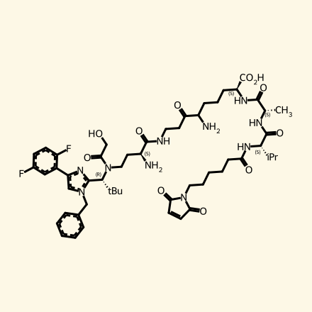 CC(C)[C@H](NC(=O)CCCCCN1C(=O)C=CC1=O)C(=O)N[C@@H](C)C(=O)N[C@@H](CCCC(N)C(=O)CCNC(=O)[C@@H](N)CCN(C(=O)CO)[C@@H](c1nc(-c2cc(F)ccc2F)cn1Cc1ccccc1)C(C)(C)C)C(=O)O